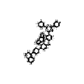 c1ccc(-c2nc(-c3ccccc3)nc(-c3ccc4c(c3)C3(c5cc(-c6ccc(-c7ccnc8ccccc78)cc6)ccc5S4)c4ccccc4-c4ccccc43)n2)cc1